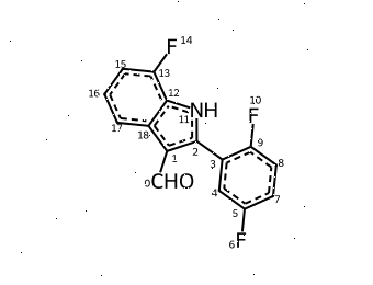 O=Cc1c(-c2cc(F)ccc2F)[nH]c2c(F)cccc12